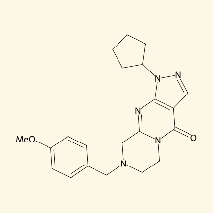 COc1ccc(CN2CCn3c(nc4c(cnn4C4CCCC4)c3=O)C2)cc1